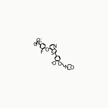 COc1cc(-c2cc3nccc(Oc4ccc([N+](=O)[O-])cc4F)c3s2)ccc1OCCN1CCOCC1